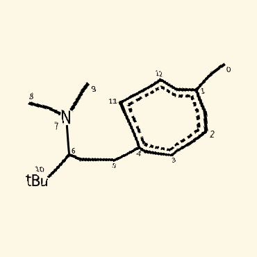 Cc1ccc(CC(N(C)C)C(C)(C)C)cc1